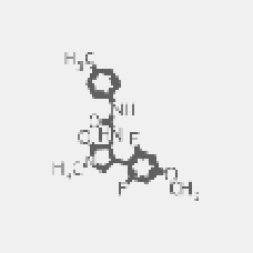 COc1cc(F)c(C2CN(C)C(=O)C2NC(=O)Nc2ccc(C)cc2)c(F)c1